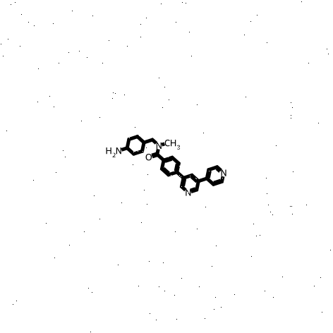 CN(CC1CCC(N)CC1)C(=O)c1ccc(-c2cncc(-c3ccncc3)c2)cc1